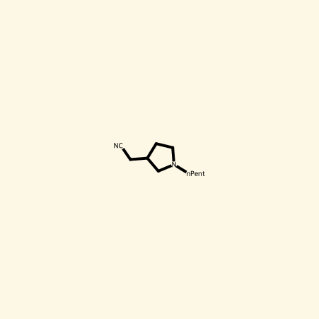 CCCCCN1CCC(CC#N)C1